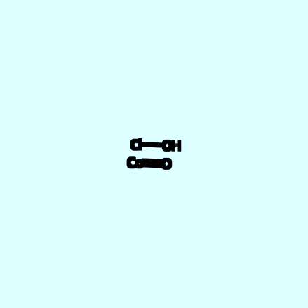 OCl.[O]=[Co]